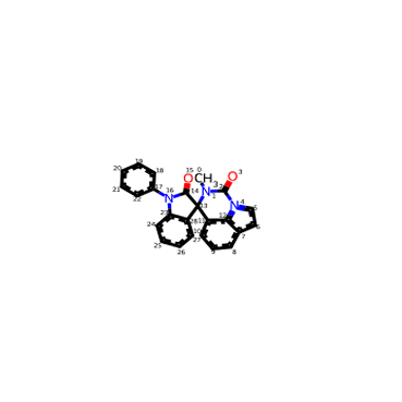 CN1C(=O)n2ccc3cccc(c32)C12C(=O)N(c1ccccc1)c1ccccc12